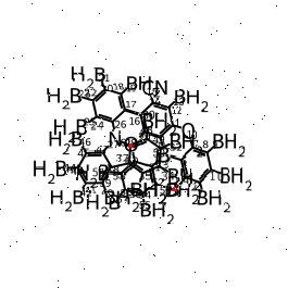 Bc1c(B)c(B)c2c(c1B)Oc1c(B)c(C#N)c(-c3c(B)c(B)c(B)c(B)c3-n3c4c(B)c(B)c(B)c(B)c4c4c(B)c(B)c(B)c(B)c43)c3c1B2c1c(B)c(B)c(B)c(B)c1O3